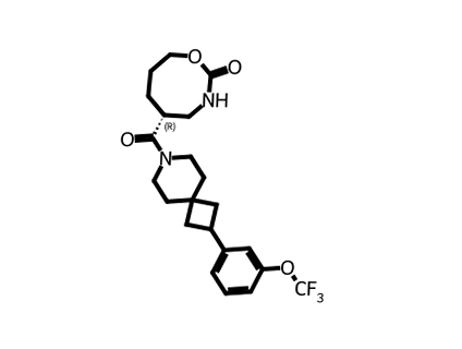 O=C1NC[C@H](C(=O)N2CCC3(CC2)CC(c2cccc(OC(F)(F)F)c2)C3)CCCO1